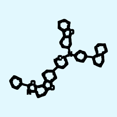 c1ccc(-c2nc3ccc4oc5cc(-c6ccc(N(c7ccc(-c8cccc9ccccc89)cc7)c7ccc8c(c7)oc7ccccc78)cc6)ccc5c4c3o2)cc1